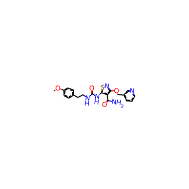 COc1ccc(CCNC(=O)Nc2snc(OCc3cccnc3)c2C(N)=O)cc1